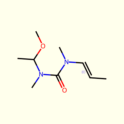 C/C=C/N(C)C(=O)N(C)C(C)OC